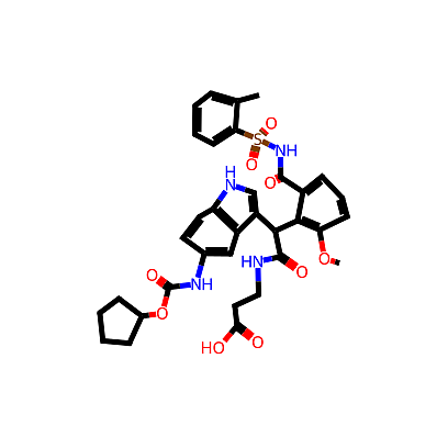 COc1cccc(C(=O)NS(=O)(=O)c2ccccc2C)c1C(C(=O)NCCC(=O)O)c1c[nH]c2ccc(NC(=O)OC3CCCC3)cc12